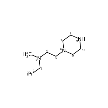 CC(C)CN(C)CCN1CCNCC1